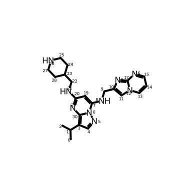 CC(C)c1cnn2c(NCc3cn4cccnc4n3)cc(NCC3CCNCC3)nc12